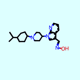 CC(C)C1CCC(N2CCC(n3cc(C=NO)c4cccnc43)CC2)CC1